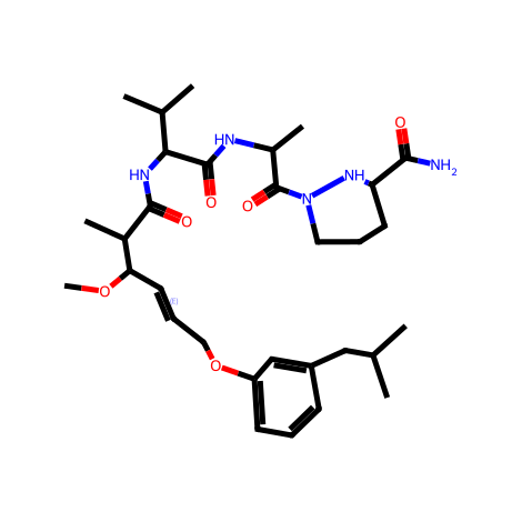 COC(/C=C/COc1cccc(CC(C)C)c1)C(C)C(=O)NC(C(=O)NC(C)C(=O)N1CCCC(C(N)=O)N1)C(C)C